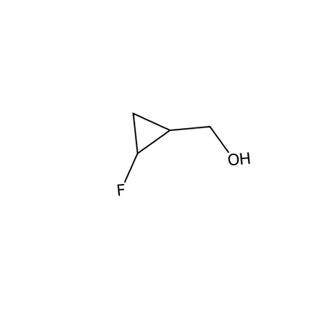 OCC1CC1F